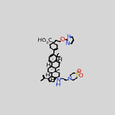 C=C(C)[C@@H]1CC[C@]2(NCCN3CCS(=O)(=O)CC3)CC[C@]3(C)[C@H](CC[C@@H]4[C@@]5(C)CC=C(C6=CCC(CCOc7ncccn7)(C(=O)O)CC6)C(C)(C)[C@@H]5CC[C@]43C)[C@@H]12